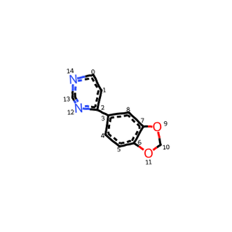 c1cc(-c2ccc3c(c2)OCO3)ncn1